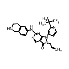 C=CCn1c(=O)c2cnc(Nc3ccc4c(c3)CCNC4)nc2n1-c1ccnc(C(C)(C)C(F)(F)F)c1